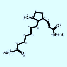 CCCCCC(=O)C=CC1CCC(O)C1CC=CCCCC(=O)OC